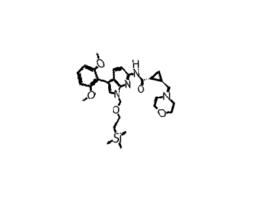 COc1cccc(OC)c1-c1cn(COCC[Si](C)(C)C)c2nc(NC(=O)[C@@H]3C[C@H]3CN3CCOCC3)ccc12